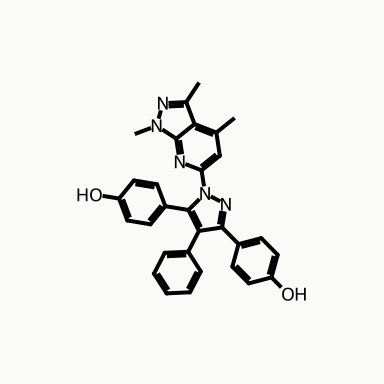 Cc1cc(-n2nc(-c3ccc(O)cc3)c(-c3ccccc3)c2-c2ccc(O)cc2)nc2c1c(C)nn2C